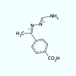 C/C(=N/N=C/N)c1ccc(C(=O)O)cc1